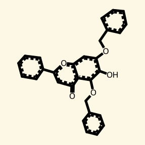 O=c1cc(-c2ccccc2)oc2cc(OCc3ccccc3)c(O)c(OCc3ccccc3)c12